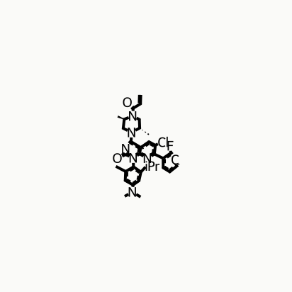 C=CC(=O)N1C[C@H](C)N(c2nc(=O)n(-c3c(C)cc(N(C)C)cc3C(C)C)c3nc(-c4ccccc4F)c(Cl)cc23)C[C@H]1C